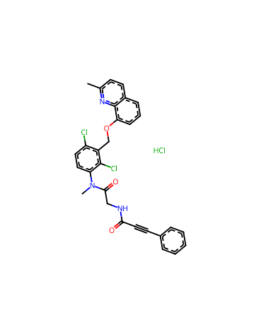 Cc1ccc2cccc(OCc3c(Cl)ccc(N(C)C(=O)CNC(=O)C#Cc4ccccc4)c3Cl)c2n1.Cl